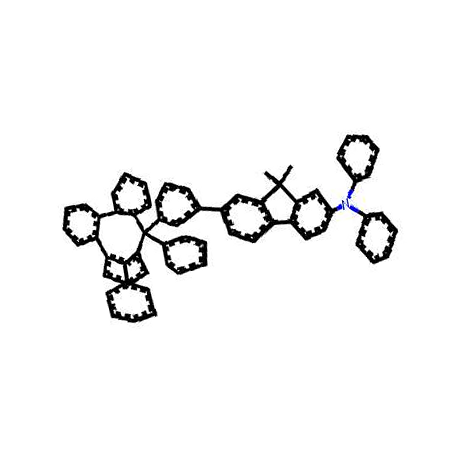 CC1(C)c2cc(-c3cccc(C4(c5ccccc5)c5ccccc5-c5ccccc5-c5cccc4c5-c4ccccc4)c3)ccc2-c2ccc(N(c3ccccc3)c3ccccc3)cc21